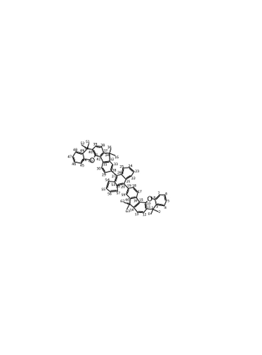 CC1(C)c2ccccc2Oc2c1ccc1c2-c2ccc(-c3c4ccccc4c(-c4ccc5c(c4)C(C)(C)c4ccc6c(c4-5)Oc4ccccc4C6(C)C)c4ccccc34)cc2C1(C)C